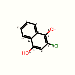 Oc1cc(Cl)c(O)c2ccccc12